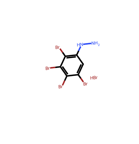 Br.NNc1cc(Br)c(Br)c(Br)c1Br